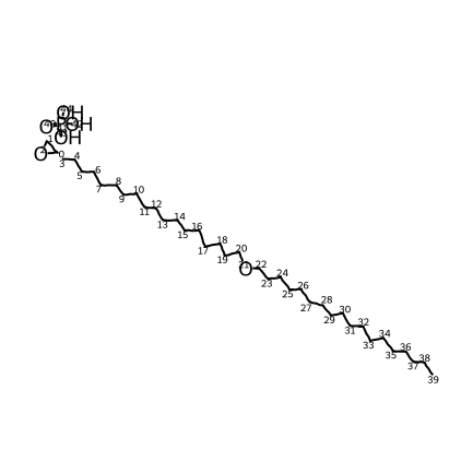 C1CO1.CCCCCCCCCCCCCCCCCCOCCCCCCCCCCCCCCCCCC.O=P(O)(O)O